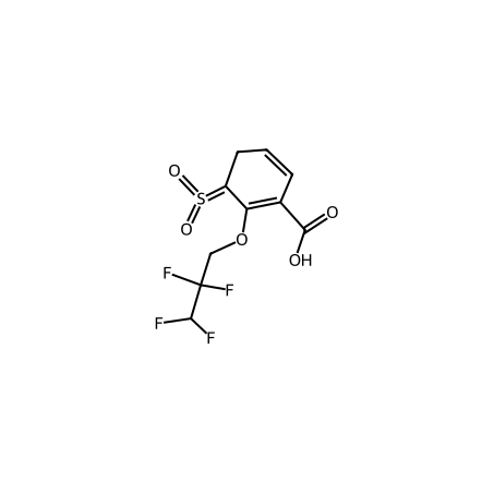 O=C(O)C1=C(OCC(F)(F)C(F)F)C(=S(=O)=O)CC=C1